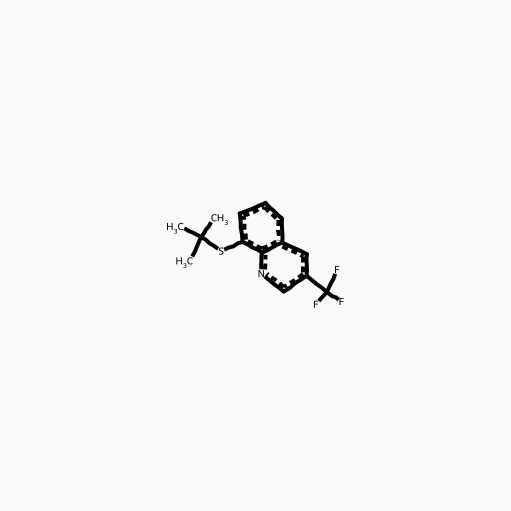 CC(C)(C)Sc1cccc2cc(C(F)(F)F)cnc12